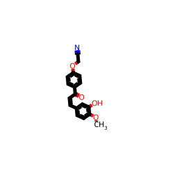 COc1ccc(/C=C\C(=O)c2ccc(OCC#N)cc2)cc1O